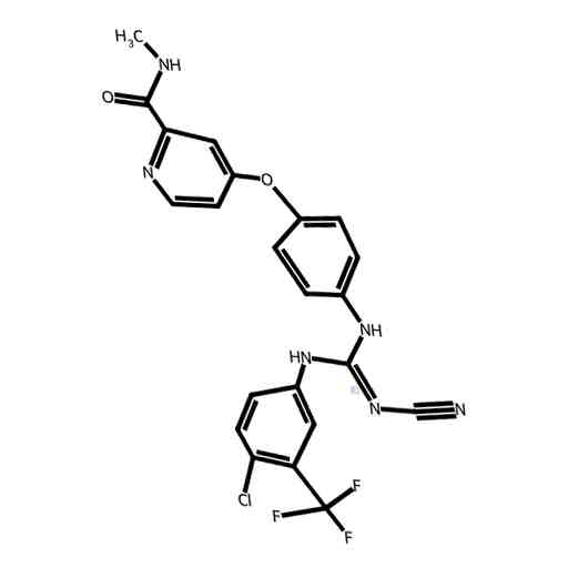 CNC(=O)c1cc(Oc2ccc(N/C(=N\C#N)Nc3ccc(Cl)c(C(F)(F)F)c3)cc2)ccn1